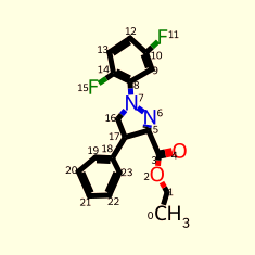 CCOC(=O)C1=NN(c2cc(F)ccc2F)CC1c1ccccc1